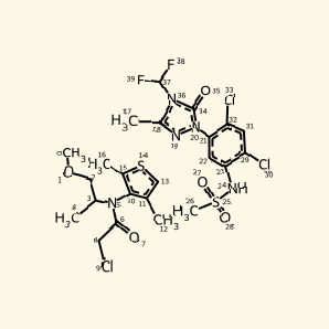 COCC(C)N(C(=O)CCl)c1c(C)csc1C.Cc1nn(-c2cc(NS(C)(=O)=O)c(Cl)cc2Cl)c(=O)n1C(F)F